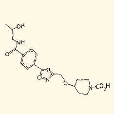 CC(O)CNC(=O)c1ccc(-c2nc(COC3CCN(C(=O)O)CC3)no2)cc1